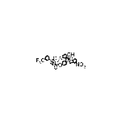 O=C(COc1ccc(N(Cc2cc([N+](=O)[O-])ccc2O)Cc2cc([N+](=O)[O-])ccc2O)cc1)N1CCN(c2cccc(C(F)(F)F)c2)CC1